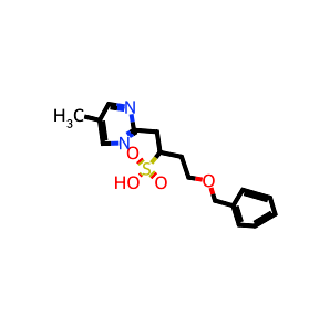 Cc1cnc(CC(CCOCc2ccccc2)S(=O)(=O)O)nc1